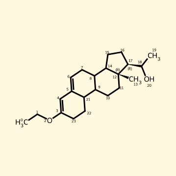 CCOC1=CC2=CCC3C(CC[C@]4(C)C3CC[C@H]4C(C)O)C2CC1